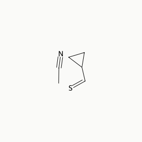 CC#N.S=CC1CC1